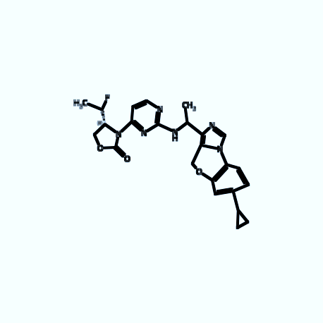 CC(Nc1nccc(N2C(=O)OC[C@@H]2C(C)F)n1)c1ncn2c1COc1cc(C3CC3)ccc1-2